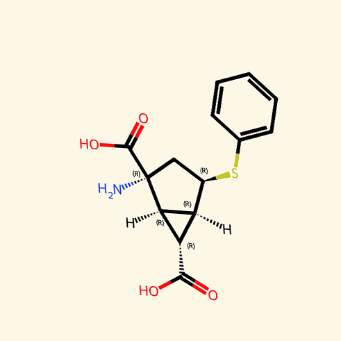 N[C@]1(C(=O)O)C[C@@H](Sc2ccccc2)[C@H]2[C@H](C(=O)O)[C@H]21